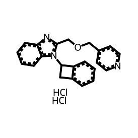 Cl.Cl.c1ccc2c(c1)CC2n1c(COCc2ccncc2)nc2ccccc21